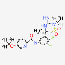 [2H]C([2H])([2H])Oc1ccc(C(=O)Nc2cc(F)c(F)c([C@]3(C)CS(=O)(=O)N(C([2H])([2H])[2H])C(=N)N3)c2)nc1